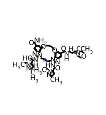 CCn1nc(C)cc1C(=O)Nc1nc2cc(C(=O)NCCCN3CCOCC3(C)C)cc3c2n1C/C=C/Cn1c(NC(O)c2cc(C)nn2CC)nc2cc(C(N)=O)cc(c21)OCCCO3